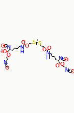 CC(C)(SCCOC(=O)NCCCCC(N=C=O)C(=O)OCCN=C=O)SCCOC(=O)NCCCCC(N=C=O)C(O)OCCN=C=O